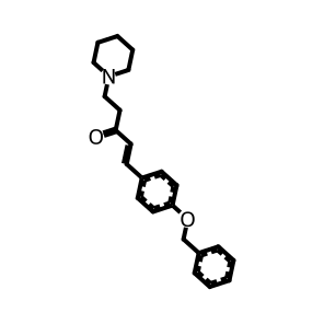 O=C(/C=C/c1ccc(OCc2ccccc2)cc1)CCN1CCCCC1